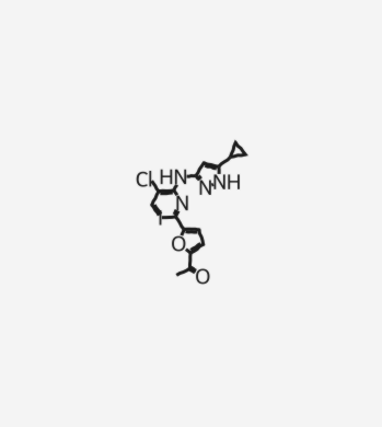 CC(=O)c1ccc(C2=NC(Nc3cc(C4CC4)[nH]n3)=C(Cl)C=I2)o1